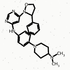 CN(C)C1CCN(c2ccc(Nc3cc(N4OCCC4c4ccccc4)ncn3)cc2)CC1